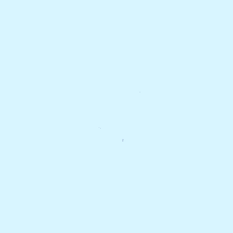 CNCc1c(C=O)c2c3ccccc3[nH]c2c2[nH]c3ccccc3c12